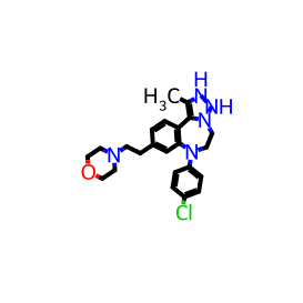 CC1=C2c3ccc(CCN4CCOCC4)cc3N(c3ccc(Cl)cc3)CCN2NN1